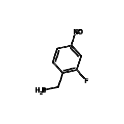 BCc1ccc(N=O)cc1F